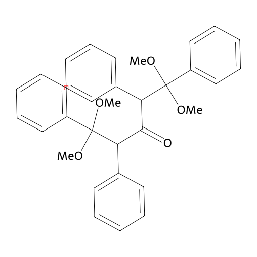 COC(OC)(c1ccccc1)C(C(=O)C(c1ccccc1)C(OC)(OC)c1ccccc1)c1ccccc1